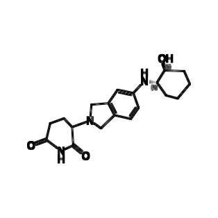 O=C1CCC(N2Cc3ccc(N[C@H]4CCCC[C@@H]4O)cc3C2)C(=O)N1